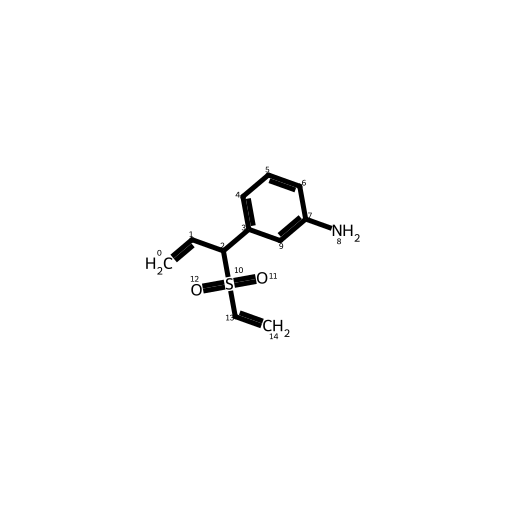 C=CC(c1cccc(N)c1)S(=O)(=O)C=C